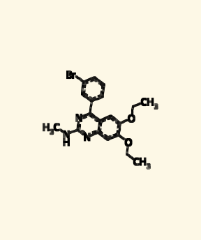 CCOc1cc2nc(NC)nc(-c3cccc(Br)c3)c2cc1OCC